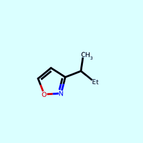 CCC(C)c1ccon1